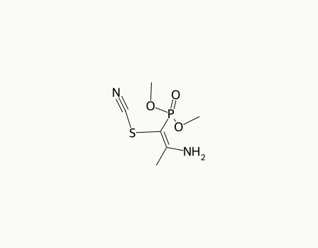 COP(=O)(OC)/C(SC#N)=C(/C)N